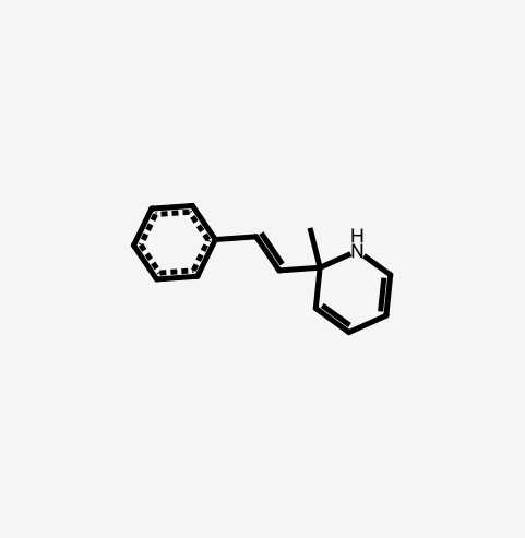 CC1(/C=C/c2ccccc2)C=CC=CN1